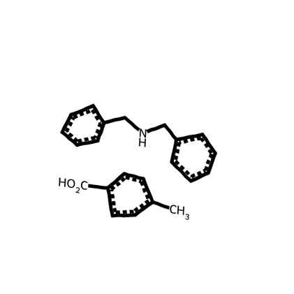 Cc1ccc(C(=O)O)cc1.c1ccc(CNCc2ccccc2)cc1